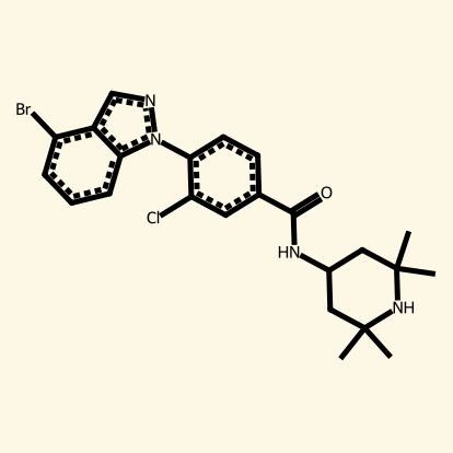 CC1(C)CC(NC(=O)c2ccc(-n3ncc4c(Br)cccc43)c(Cl)c2)CC(C)(C)N1